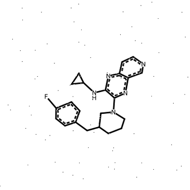 Fc1ccc(CC2CCCN(c3nc4cnccc4nc3NC3CC3)C2)cc1